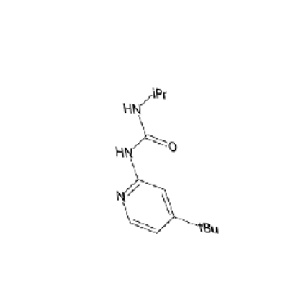 CC(C)NC(=O)Nc1cc(C(C)(C)C)ccn1